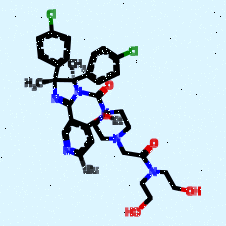 CCOc1cc(C(C)(C)C)ncc1C1=N[C@](C)(c2ccc(Cl)cc2)[C@@](C)(c2ccc(Cl)cc2)N1C(=O)N1CCN(CC(=O)N(CCO)CCO)CC1